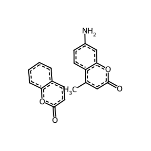 Cc1cc(=O)oc2cc(N)ccc12.O=c1ccc2ccccc2o1